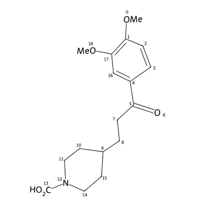 COc1ccc(C(=O)CCC2CCN(C(=O)O)CC2)cc1OC